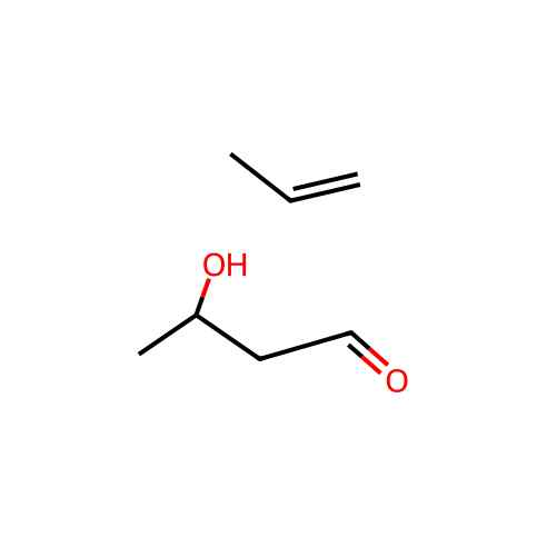 C=CC.CC(O)CC=O